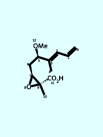 C=C/C=C(\C)[C@@H](C[C@@H]1O[C@@]1(C)C(=O)O)OC